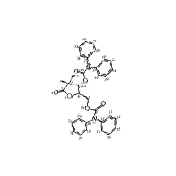 C[C@]1(F)C(=O)O[C@H](COC(=O)N(c2ccccc2)c2ccccc2)[C@H]1OC(=O)N(c1ccccc1)c1ccccc1